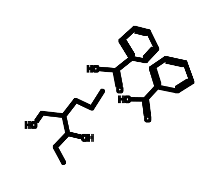 CCCC(CO)C(O)CC.O=C(O)c1ccccc1.O=C(O)c1ccccc1